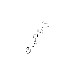 CC(NC(=O)c1nnc(-c2cccc(-c3ncc(C(=O)NC45CC6CC(CC(C6)C4)C5)o3)c2)[nH]1)C1CC1